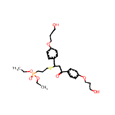 CCOP(=O)(CCCSC(CC(=O)c1ccc(OCCCO)cc1)c1ccc(OCCCO)cc1)OCC